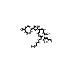 C=C/C(=C\C=C\F)N1\C(CCCCCO)=N/C=C/C(C2CC(/C3=N/C/C=C\C(Cl)=C/CO3)CN2)=C\C=C\C1O